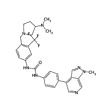 CN(C)C1CCN(Cc2ccc(NC(=O)Nc3ccc(-c4cncc5c4cnn5C)cc3)cc2C(F)(F)F)C1